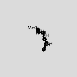 COc1ccn2c(-c3cc(NCc4ccc(/C(C=N)=C/NCCN5CCCC5)cc4)ncn3)cnc2c1